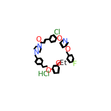 CCOc1cccc(OCCc2ccc(CN3CCN(C(=O)C=Cc4ccc(Oc5ccc(OCc6ccc(F)cc6)cn5)c(Cl)c4)CC3)cc2)c1.Cl